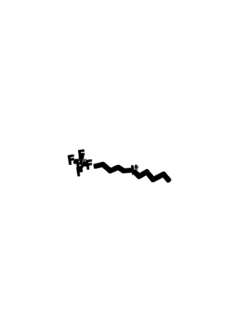 CCCCC[I+]CCCCC.F[B-](F)(F)F